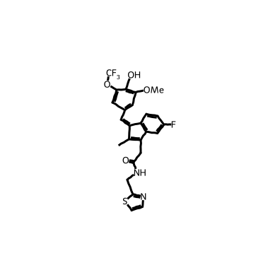 COc1cc(/C=C2/C(C)=C(CC(=O)NCc3nccs3)c3cc(F)ccc32)cc(OC(F)(F)F)c1O